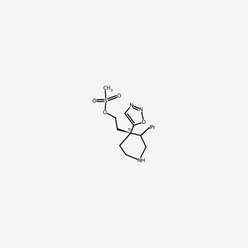 CC(C)C1CNCC[C@]1(CCOS(C)(=O)=O)c1cnno1